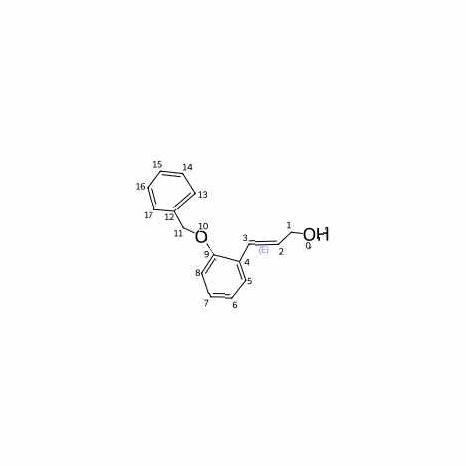 OC/C=C/c1ccccc1OCc1ccccc1